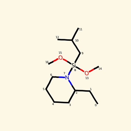 CCC1CCCCN1[Si](CC(C)C)(OC)OC